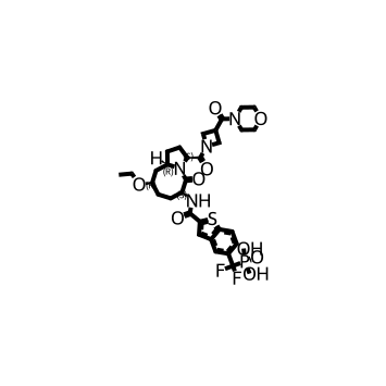 CCO[C@@H]1CC[C@H](NC(=O)c2cc3cc(C(F)(F)P(=O)(O)O)ccc3s2)C(=O)N2[C@H](CC[C@H]2C(=O)N2CC(C(=O)N3CCOCC3)C2)C1